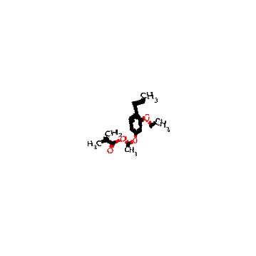 C=C(C)C(=O)OC(C)Oc1ccc(CCC)c(OCC)c1